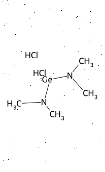 C[N](C)[Ge][N](C)C.Cl.Cl